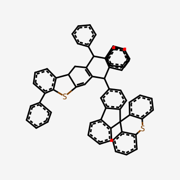 C1=C2Sc3c(-c4ccccc4)cccc3C2CC(C(c2ccccc2)c2ccccc2)=C1C(c1ccccc1)c1ccc2c(c1)-c1ccccc1C21c2ccccc2Sc2ccccc21